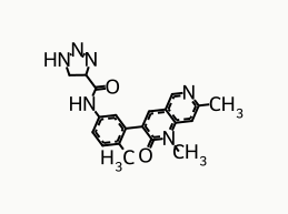 Cc1cc2c(cn1)cc(-c1cc(NC(=O)C3CNN=N3)ccc1C)c(=O)n2C